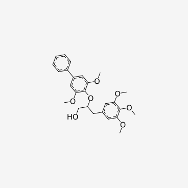 COc1cc(CC(CO)Oc2c(OC)cc(-c3ccccc3)cc2OC)cc(OC)c1OC